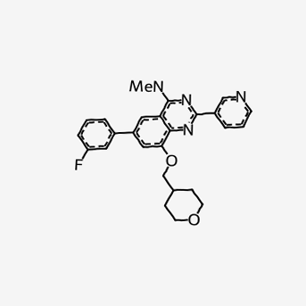 CNc1nc(-c2cccnc2)nc2c(OCC3CCOCC3)cc(-c3cccc(F)c3)cc12